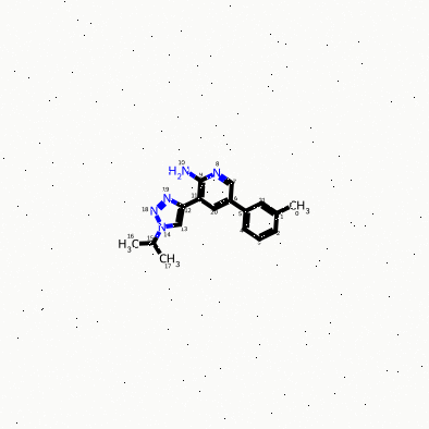 Cc1cccc(-c2cnc(N)c(-c3cn(C(C)C)nn3)c2)c1